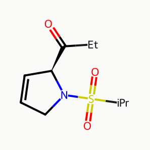 CCC(=O)[C@@H]1C=CCN1S(=O)(=O)C(C)C